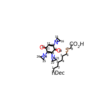 CCCCCCCCCCCCCCCCSCC(=O)O.O=C1C=C(N2CC2)C(=O)C(N2CC2)=C1N1CC1